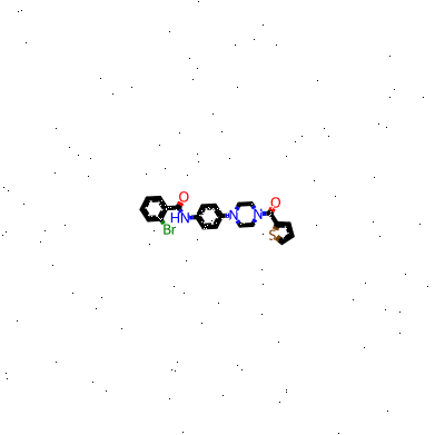 O=C(Nc1ccc(N2CCN(C(=O)c3cccs3)CC2)cc1)c1ccccc1Br